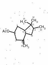 C=C1CC(OC(C)=O)CC2C1CC(C)C2(C)C